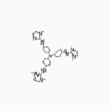 Cn1cc[n+](C)c1N=Nc1ccc(N(c2ccc(N=Nc3n(C)cc[n+]3C)cc2)c2ccc(N=Nc3n(C)cc[n+]3C)cc2)cc1